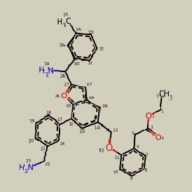 CCOC(=O)Cc1ccccc1OCc1cc(-c2cccc(CN)c2)c2oc(C(N)c3cccc(C)c3)cc2c1